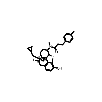 Cc1ccc(CCC(=O)N(C)C2CC[C@@]3(O)[C@H]4Cc5ccc(O)c6c5[C@@]3(CCN4CC3CC3)C2O6)cc1